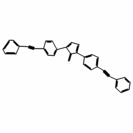 O=C1C(c2ccc(C#Cc3ccccc3)cc2)=CC=C1c1ccc(C#Cc2ccccc2)cc1